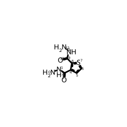 NNC(=O)c1ccsc1C(=O)NN